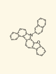 c1ccc2cc(-n3c4ccc5ccccc5c4c4ccc5c6ccccc6oc5c43)ccc2c1